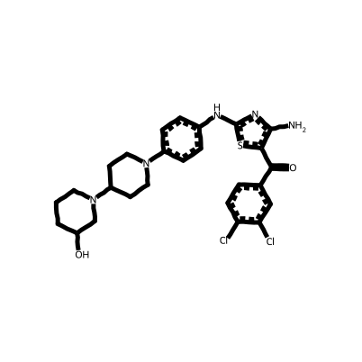 Nc1nc(Nc2ccc(N3CCC(N4CCCC(O)C4)CC3)cc2)sc1C(=O)c1ccc(Cl)c(Cl)c1